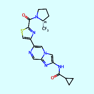 O=C(Nc1cn2cc(-c3csc(C(=O)N4CCC[C@@H]4C(F)(F)F)n3)ncc2n1)C1CC1